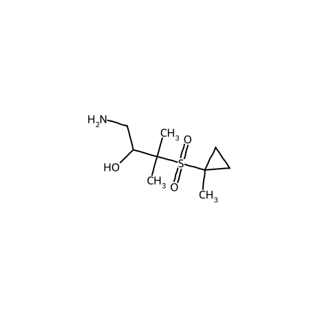 CC1(S(=O)(=O)C(C)(C)C(O)CN)CC1